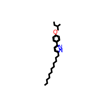 CCCCCCCCCCCCc1ccc(-c2ccc(OCC(C)CC)cc2)nn1